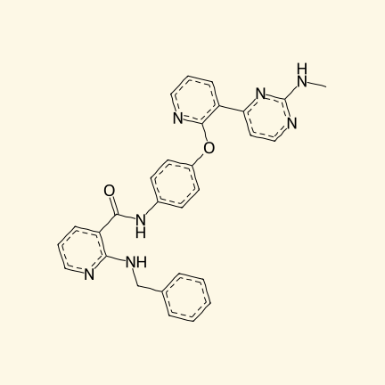 CNc1nccc(-c2cccnc2Oc2ccc(NC(=O)c3cccnc3NCc3ccccc3)cc2)n1